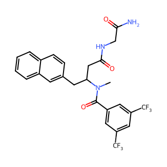 CN(C(=O)c1cc(C(F)(F)F)cc(C(F)(F)F)c1)C(CC(=O)NCC(N)=O)Cc1ccc2ccccc2c1